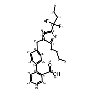 CCCCc1nc(C(F)(F)CCC)nn1Cc1ccc(-c2ccncc2C(=O)O)cc1